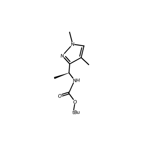 Cc1cn(C)nc1[C@H](C)NC(=O)OC(C)(C)C